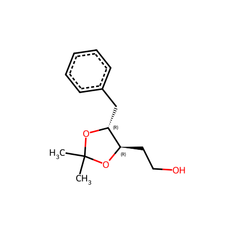 CC1(C)O[C@H](CCO)[C@@H](Cc2ccccc2)O1